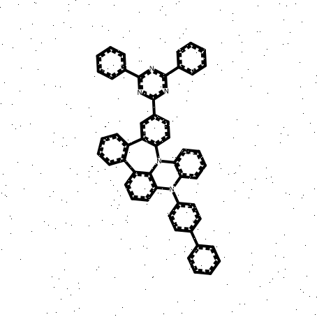 c1ccc(-c2ccc(N3c4ccccc4N4c5ccc(-c6nc(-c7ccccc7)nc(-c7ccccc7)n6)cc5-c5ccccc5-c5cccc3c54)cc2)cc1